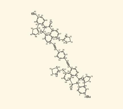 CC(C)(C)c1ccc(N2C(=O)c3ccc(C#Cc4ccc(C#Cc5ccc6c7c(ccc(SC8=NCCS8)c57)C(=O)N(c5ccc(C(C)(C)C)cc5C5=CC=CC5)C6=O)cc4)c4c(SC5=NCCS5)ccc(c34)C2=O)c(C2=CC=CC2)c1